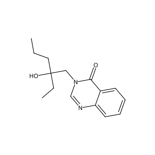 CCCC(O)(CC)Cn1cnc2ccccc2c1=O